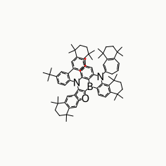 Cc1cc2c3c(c1)N(c1ccc(C(C)(C)C)cc1-c1ccc4c(c1)C(C)(C)CCC4(C)C)c1c(oc4cc5c(cc14)C(C)(C)CCC5(C)C)B3c1ccc3c(c1N2C1=CC2=C(C=CC1)C(C)(C)CCC2(C)C)C(C)(C)CCC3(C)C